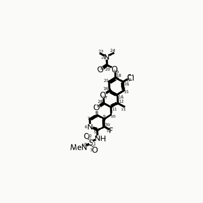 CNS(=O)(=O)Nc1nccc(Cc2c(C)c3cc(Cl)c(OC(=O)N(C)C)cc3oc2=O)c1F